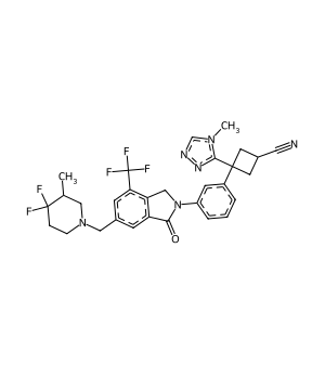 CC1CN(Cc2cc3c(c(C(F)(F)F)c2)CN(c2cccc(C4(c5nncn5C)CC(C#N)C4)c2)C3=O)CCC1(F)F